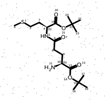 CSCC[C@H](NC(=O)CC[C@H](N)C(=O)OC(C)(C)C)C(=O)OC(C)(C)C